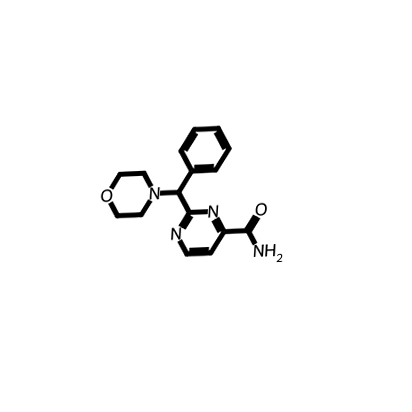 NC(=O)c1ccnc(C(c2ccccc2)N2CCOCC2)n1